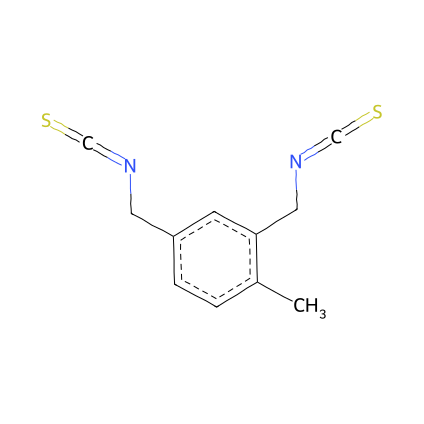 Cc1ccc(CN=C=S)cc1CN=C=S